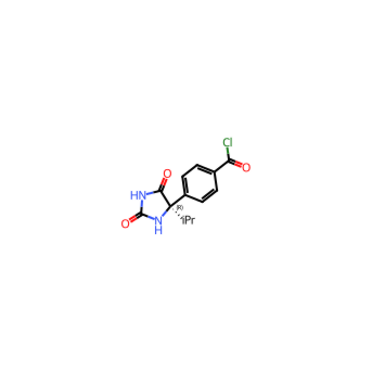 CC(C)[C@]1(c2ccc(C(=O)Cl)cc2)NC(=O)NC1=O